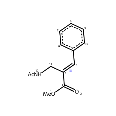 COC(=O)/C(=C/c1ccccc1)CNC(C)=O